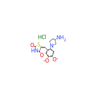 COc1cc(C=C2SC(=O)NC2=O)c(N2CCC(N)C2)cc1OC.Cl